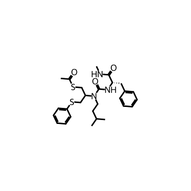 CNC(=O)[C@H](Cc1ccccc1)NC(=O)N(CCC(C)C)C(CSC(C)=O)CSc1ccccc1